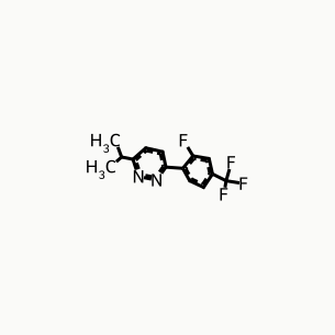 CC(C)c1ccc(-c2ccc(C(F)(F)F)cc2F)nn1